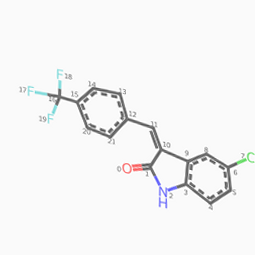 O=C1Nc2ccc(Cl)cc2C1=Cc1ccc(C(F)(F)F)cc1